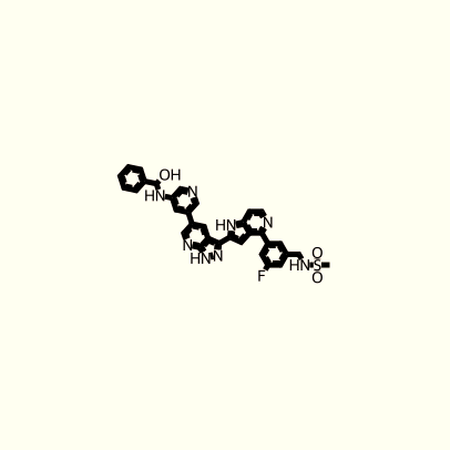 CS(=O)(=O)NCc1cc(F)cc(-c2nccc3[nH]c(-c4n[nH]c5ncc(-c6cncc(NC(O)c7ccccc7)c6)cc45)cc23)c1